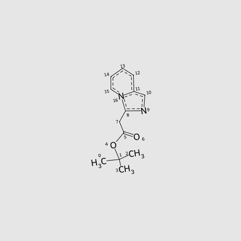 CC(C)(C)OC(=O)Cc1ncc2ccccn12